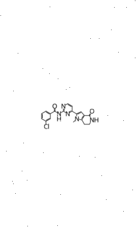 Cn1c(-c2ccnc(NC(=O)c3cccc(Cl)c3)n2)cc2c1CCNC2=O